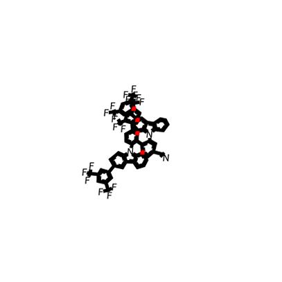 N#Cc1ccc(-c2cc(-c3ccc(C(F)(F)F)cc3C(F)(F)F)ccc2-n2c3ccccc3c3cc(-c4cc(C(F)(F)F)cc(C(F)(F)F)c4)ccc32)c(-n2c3ccccc3c3cc(-c4cc(C(F)(F)F)cc(C(F)(F)F)c4)ccc32)c1